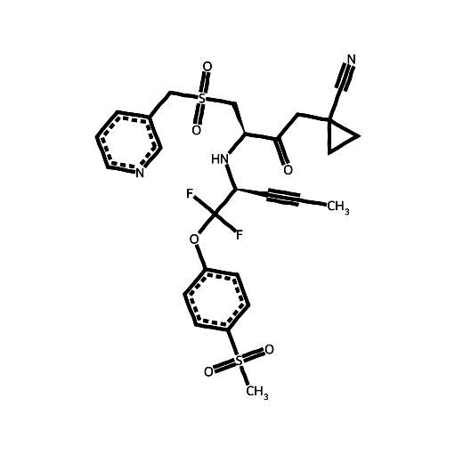 CC#C[C@H](N[C@@H](CS(=O)(=O)Cc1cccnc1)C(=O)CC1(C#N)CC1)C(F)(F)Oc1ccc(S(C)(=O)=O)cc1